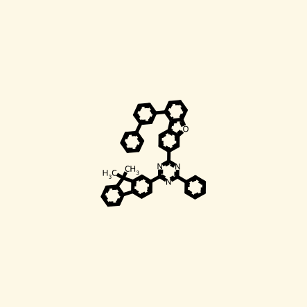 CC1(C)c2ccccc2-c2ccc(-c3nc(-c4ccccc4)nc(-c4ccc5c(c4)oc4cccc(-c6cccc(-c7ccccc7)c6)c45)n3)cc21